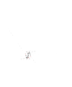 CCCCCCCCCCCCCCCCCCCCCCCCCCC(CCCCCCC)N(C(=O)O)C(c1ccccc1)(c1ccccc1)N(C(=O)O)C(CCCCCCC)CCCCCCCCCCCCCCCCCCCCCCCCCC